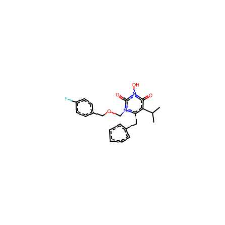 CC(C)c1c(Cc2ccccc2)n(COCc2ccc(F)cc2)c(=O)n(O)c1=O